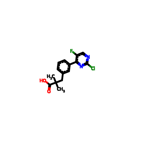 CC(C)(Cc1cccc(-c2nc(Cl)ncc2F)c1)C(=O)O